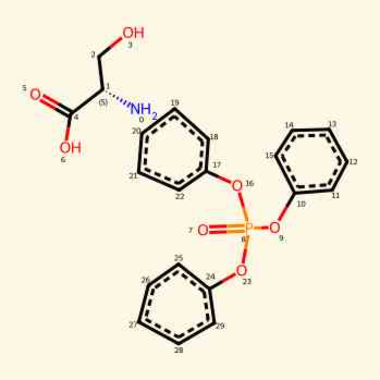 N[C@@H](CO)C(=O)O.O=P(Oc1ccccc1)(Oc1ccccc1)Oc1ccccc1